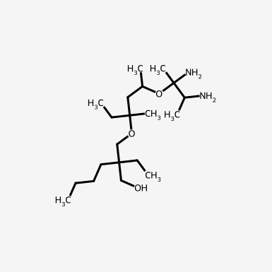 CCCCC(CC)(CO)COC(C)(CC)CC(C)OC(C)(N)C(C)N